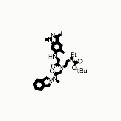 CCN(CCN(CC(=O)N(C)N1Cc2ccccc2C1)C(=O)CNc1cc2c(cc1C)c(I)nn2C)C(=O)OC(C)(C)C